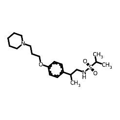 CC(CNS(=O)(=O)C(C)C)c1ccc(OCCCN2CCCCC2)cc1